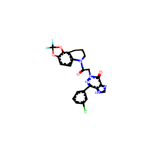 O=C(Cn1nc(-c2cccc(Cl)c2)c2[nH]cnc2c1=O)N1CCCc2c1ccc1c2OC(F)(F)O1